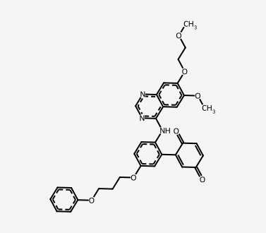 COCCOc1cc2ncnc(Nc3ccc(OCCCOc4ccccc4)cc3C3=CC(=O)C=CC3=O)c2cc1OC